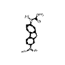 CCCN(CCC)c1ccc2c(c1)Cc1cc(N(S)C(N)=O)ccc1-2